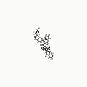 CCOC(=O)c1ccc(/C=C/CC(C(=O)NS(=O)(=O)c2ccc3ccccc3c2)C(=O)N(CC)c2ccccc2)cc1